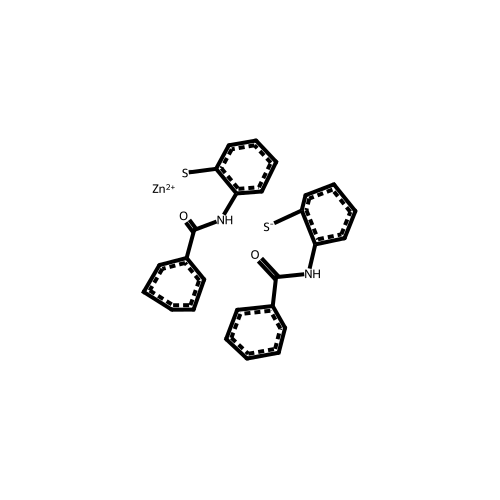 O=C(Nc1ccccc1[S-])c1ccccc1.O=C(Nc1ccccc1[S-])c1ccccc1.[Zn+2]